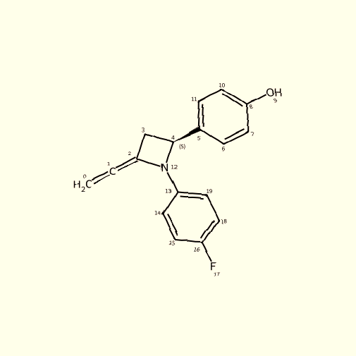 C=C=C1C[C@@H](c2ccc(O)cc2)N1c1ccc(F)cc1